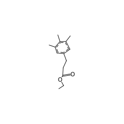 CCOC(=O)CCc1cc(C)c(C)c(C)c1